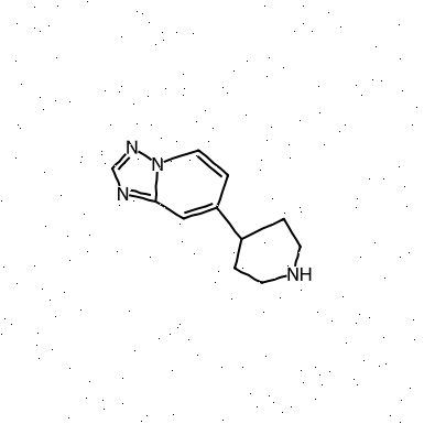 c1nc2cc(C3CCNCC3)ccn2n1